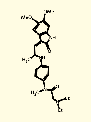 CCN(CC)CC(=O)N(C)c1ccc(NC(C)C=C2C(=O)Nc3cc(OC)c(OC)cc32)cc1